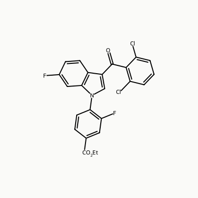 CCOC(=O)c1ccc(-n2cc(C(=O)c3c(Cl)cccc3Cl)c3ccc(F)cc32)c(F)c1